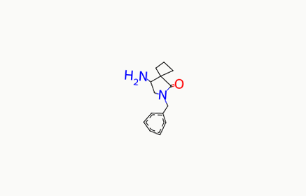 NC1CN(Cc2ccccc2)C(=O)C12CCC2